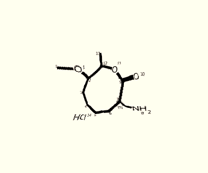 COC1CCCC[C@H](N)C(=O)OC1C.Cl